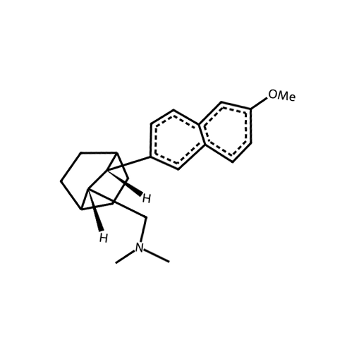 COc1ccc2cc([C@H]3C4CCC(CC4)[C@H]3CN(C)C)ccc2c1